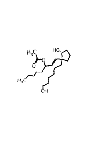 CCCCCC(/C=C/[C@@]1(CCCCCCO)CCC[C@H]1O)OC(C)=O